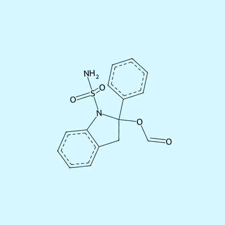 NS(=O)(=O)N1c2ccccc2CC1(OC=O)c1ccccc1